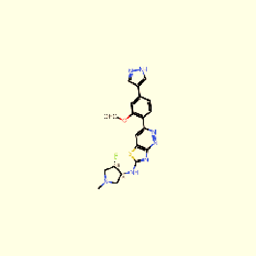 CN1C[C@H](Nc2nc3nnc(-c4ccc(-c5cn[nH]c5)cc4OC=O)cc3s2)[C@@H](F)C1